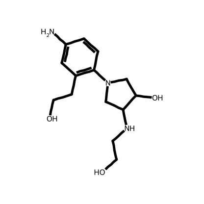 Nc1ccc(N2CC(O)C(NCCO)C2)c(CCO)c1